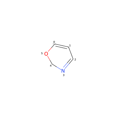 [C]1=CC=NCO1